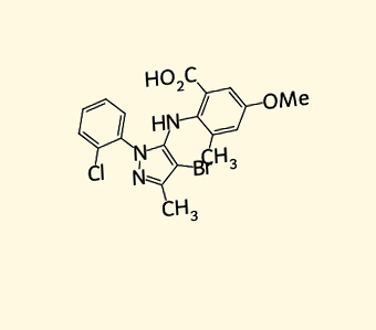 COc1cc(C)c(Nc2c(Br)c(C)nn2-c2ccccc2Cl)c(C(=O)O)c1